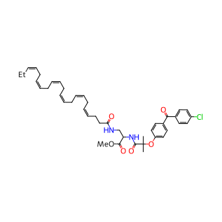 CC/C=C\C/C=C\C/C=C\C/C=C\C/C=C\C/C=C\CCC(=O)NCC(NC(=O)C(C)(C)Oc1ccc(C(=O)c2ccc(Cl)cc2)cc1)C(=O)OC